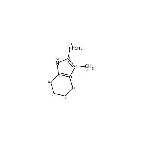 CCCCCC1=C(C)C2=C(CCCC2)[N]1